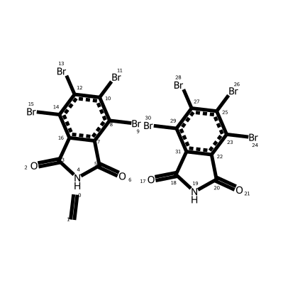 C=C.O=C1NC(=O)c2c(Br)c(Br)c(Br)c(Br)c21.O=C1NC(=O)c2c(Br)c(Br)c(Br)c(Br)c21